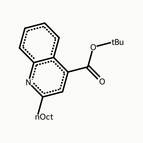 CCCCCCCCc1cc(C(=O)OC(C)(C)C)c2ccccc2n1